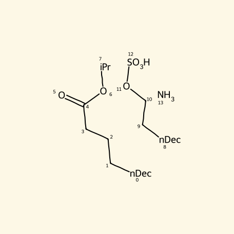 CCCCCCCCCCCCCC(=O)OC(C)C.CCCCCCCCCCCCOS(=O)(=O)O.N